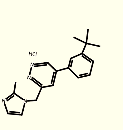 Cc1nccn1Cc1cc(-c2cccc(C(C)(C)C)c2)cnn1.Cl